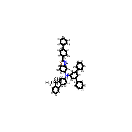 CC1(C)c2ccccc2-c2ccc(N(c3cc(-c4ccccc4)cc(-c4ccccc4)c3)c3ccc4sc(-c5ccc(-c6ccccc6)cc5)nc4c3)cc21